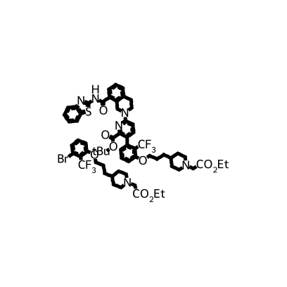 CCOC(=O)CN1CCC(CCCOc2cccc(-c3ccc(N4CCc5cccc(C(=O)Nc6nc7ccccc7s6)c5C4)nc3C(=O)OC(C)(C)C)c2C(F)(F)F)CC1.CCOC(=O)CN1CCC(CCCOc2cccc(Br)c2C(F)(F)F)CC1